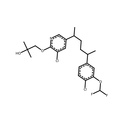 CC(CCC(C)c1ccc(Cl)c(OC(F)F)c1)c1cnc(OCC(C)(C)O)c(Cl)c1